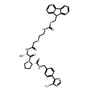 Cc1ncsc1-c1ccc(CNC(=O)[C@@H]2CCCN2C(=O)[C@@H](NC(=O)COCCNC(=O)OCC2c3ccccc3-c3ccccc32)C(C)(C)C)cc1